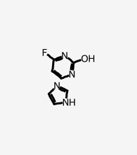 Oc1nccc(F)n1.c1c[nH]cn1